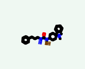 CN(C)C1(c2ccccc2)CCC(N(S)C(=O)NCCCc2ccccc2)CC1